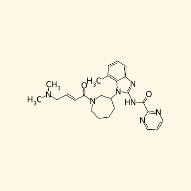 Cc1cccc2nc(NC(=O)c3ncccn3)n(C3CCCCN(C(=O)/C=C/CN(C)C)C3)c12